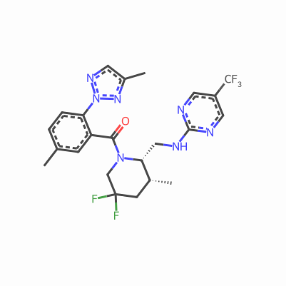 Cc1ccc(-n2ncc(C)n2)c(C(=O)N2CC(F)(F)C[C@@H](C)[C@H]2CNc2ncc(C(F)(F)F)cn2)c1